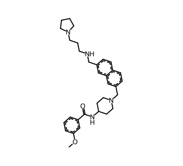 COc1cccc(C(=O)NC2CCN(Cc3ccc4ccc(CNCCCN5CCCC5)cc4c3)CC2)c1